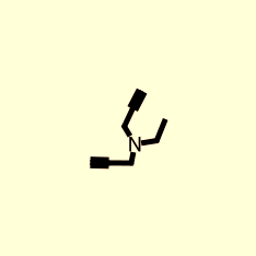 C#CCN(CC)CC#C